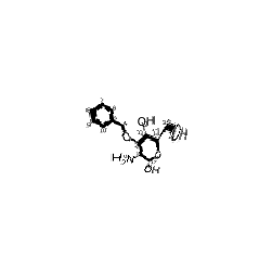 N[C@@H]1[C@@H](OCc2ccccc2)[C@H](O)[C@@H](CO)O[C@@H]1O